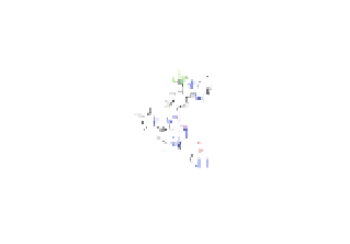 NC(=O)Cc1cnc2c(NC(=O)c3cc(-c4ncccn4)c(C(F)(F)F)cc3F)c(-c3ccccc3)ccn12